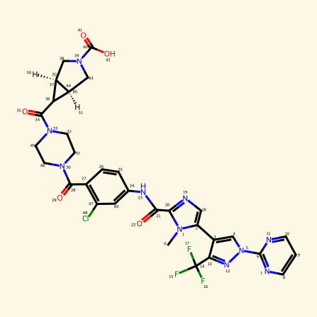 Cn1c(-c2cn(-c3ncccn3)nc2C(F)(F)F)cnc1C(=O)Nc1ccc(C(=O)N2CCN(C(=O)C3[C@H]4CN(C(=O)O)C[C@@H]34)CC2)c(Cl)c1